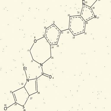 CCN1C(C(=O)N2CCOc3ccc(-c4ccc5nc(C)[nH]c5c4)cc3C2)=CC2SC(Cl)=CC21